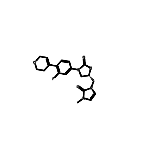 Cn1ccn(C[C@@H]2CN(c3ccc(C4=CCOCC4)c(F)c3)C(=O)O2)c1=O